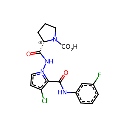 O=C(Nc1cccc(F)c1)c1c(Cl)ccn1NC(=O)[C@@H]1CCCN1C(=O)O